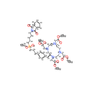 CC(C)(C)OC(=O)CN1CCN(CC(=O)OC(C)(C)C)CCN(CC(=O)OC(C)(C)C)[C@@H](Cc2ccc(CCCP(=O)(CCCCCN3C(=O)c4ccccc4C3=O)OC(C)(C)C)cc2)CN(CC(=O)OC(C)(C)C)CC1